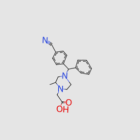 CC1CN(C(c2ccccc2)c2ccc(C#N)cc2)CCN1CC(=O)O